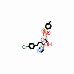 Cc1ccc(S(=O)(=O)OC[C@H](CO)OC(CCc2ccc(Cl)cc2)Cn2ccnc2)cc1